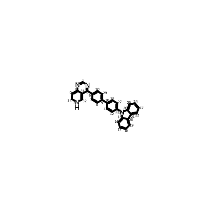 C1=c2ncnc(-c3ccc(-c4ccc(-n5c6ccccc6c6ccccc65)cc4)cc3)c2=CNC1